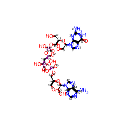 Nc1nc2c(ncn2[C@@H](CO)O[C@@H](CO)COP(=O)(O)OP(=O)(O)CP(=O)(O)OP(=O)(O)OC[C@H](CO)O[C@H](CO)n2cnc3c(N)ncnc32)c(=O)[nH]1